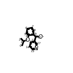 CC(C)Oc1ccccc1C([O])c1cccnc1